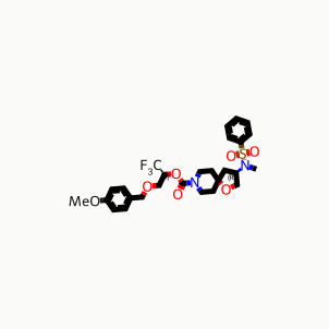 COc1ccc(COC[C@@H](OC(=O)N2CCC3(CC2)C[C@@H](N(C)S(=O)(=O)c2ccccc2)CO3)C(F)(F)F)cc1